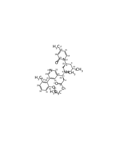 COC(=O)C[C@H](NC[C@H](CC(C)C)n1ccc(C)cc1=O)c1cncc(-c2c(C)cccc2OC)c1